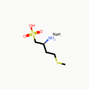 CSCC[C@H](N)CS(=O)(=O)O.[NaH]